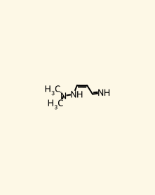 CN(C)N/C=C\C=N